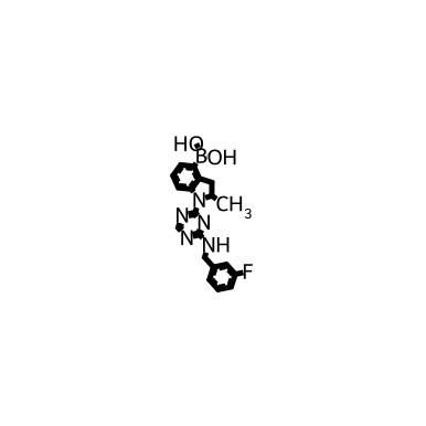 CC1Cc2c(B(O)O)cccc2N1c1ncnc(NCc2cccc(F)c2)n1